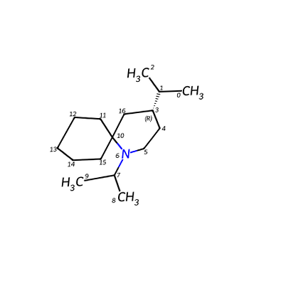 CC(C)[C@@H]1CCN(C(C)C)C2(CCCCC2)C1